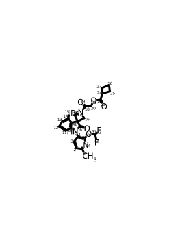 Cc1ccc(NC(=O)C2(c3ccccc3C(C)C)CN(C(=O)COC(=O)C3CCC3)C2)c(OC(F)F)n1